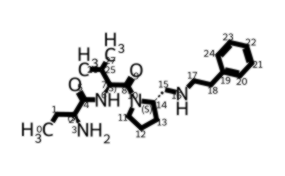 CC[C@H](N)C(=O)N[C@H](C(=O)N1CCC[C@H]1CNCCc1ccccc1)C(C)C